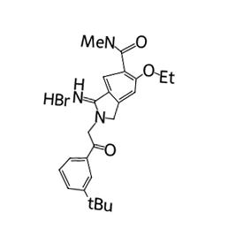 Br.CCOc1cc2c(cc1C(=O)NC)C(=N)N(CC(=O)c1cccc(C(C)(C)C)c1)C2